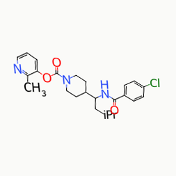 Cc1ncccc1OC(=O)N1CCC(C(CC(C)C)NC(=O)c2ccc(Cl)cc2)CC1